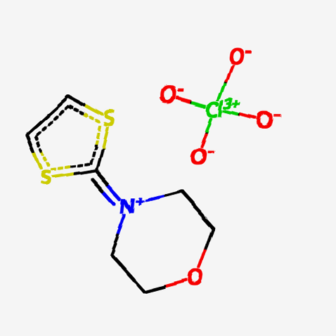 [O-][Cl+3]([O-])([O-])[O-].c1csc(=[N+]2CCOCC2)s1